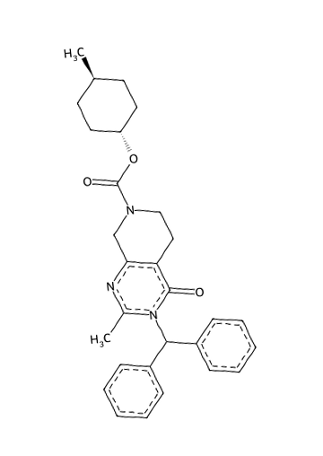 Cc1nc2c(c(=O)n1C(c1ccccc1)c1ccccc1)CCN(C(=O)O[C@H]1CC[C@H](C)CC1)C2